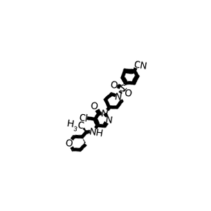 C[C@@H](Nc1cnn(C2CCN(S(=O)(=O)c3ccc(C#N)cc3)CC2)c(=O)c1Cl)[C@@H]1CCCOC1